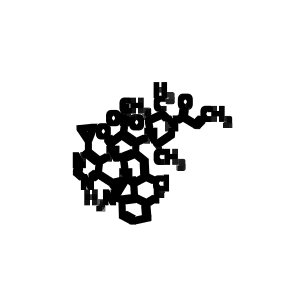 C=CC(=O)N1C[C@H](C)N(c2c(S(C)(=O)=O)c(=O)n(-c3c(C4CC4)ncnc3C3CC3)c3nc(-c4c(N)cccc4F)c(Cl)cc23)C[C@H]1C